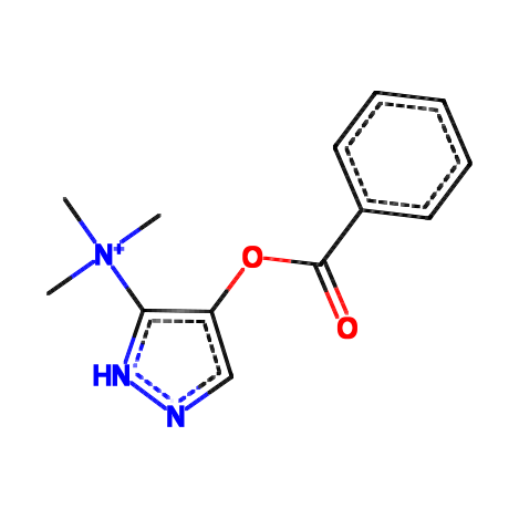 C[N+](C)(C)c1[nH]ncc1OC(=O)c1ccccc1